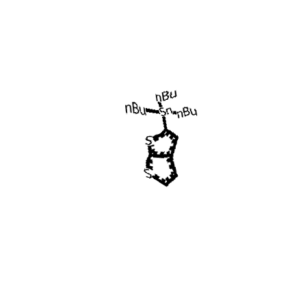 CCC[CH2][Sn]([CH2]CCC)([CH2]CCC)[c]1cc2ccsc2s1